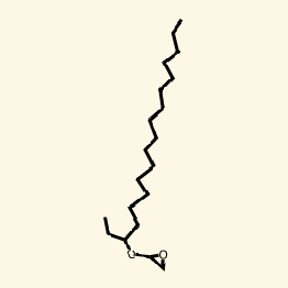 CCCCCCCCCCCCCCCC(CC)OC1CO1